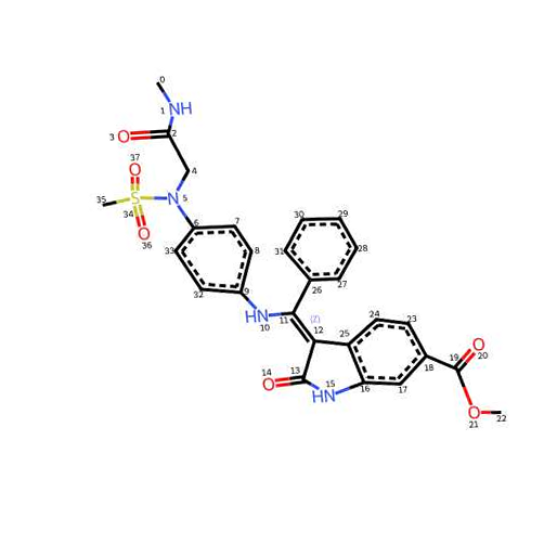 CNC(=O)CN(c1ccc(N/C(=C2\C(=O)Nc3cc(C(=O)OC)ccc32)c2ccccc2)cc1)S(C)(=O)=O